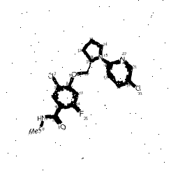 CSNC(=O)c1cc(Cl)c(OC[C@H]2CCCN2c2ccc(Cl)cn2)cc1F